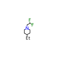 [CH2]CC1CCN(CC(F)F)CC1